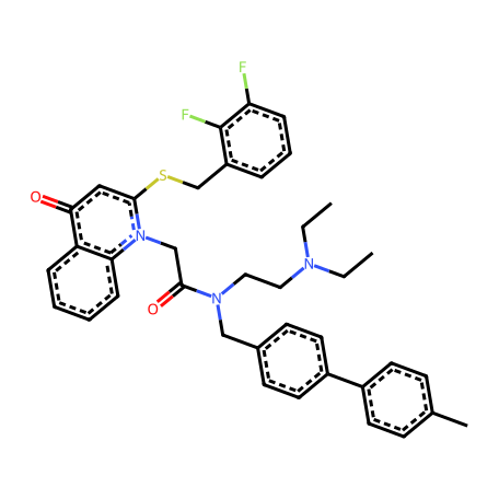 CCN(CC)CCN(Cc1ccc(-c2ccc(C)cc2)cc1)C(=O)Cn1c(SCc2cccc(F)c2F)cc(=O)c2ccccc21